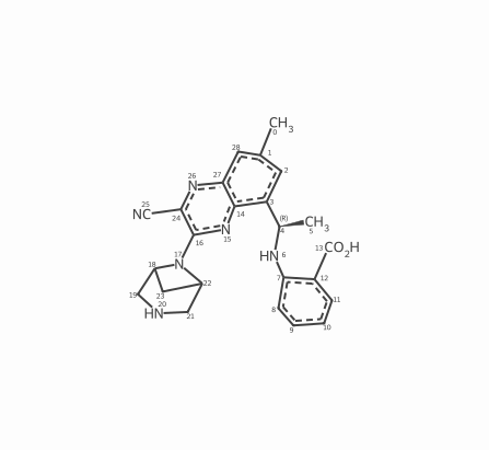 Cc1cc([C@@H](C)Nc2ccccc2C(=O)O)c2nc(N3C4CNCC3C4)c(C#N)nc2c1